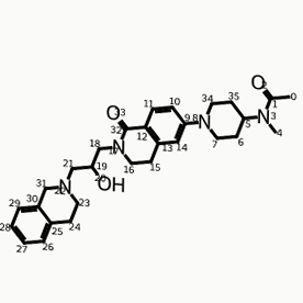 CC(=O)N(C)C1CCN(c2ccc3c(c2)CCN(CC(O)CN2CCc4ccccc4C2)C3=O)CC1